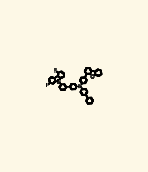 Fc1ccc2c3c(F)cccc3n(-c3cccc(-c4ccc(N(c5ccc(-c6ccccc6)cc5)c5ccc(-c6cccc7c6oc6ccccc67)cc5)cc4)c3)c2c1